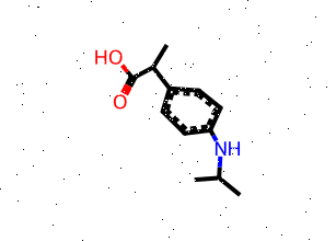 CC(C)Nc1ccc(C(C)C(=O)O)cc1